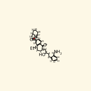 CCN1CCN(CC(O)CCc2ccccc2CN)C(=O)c2ccc(C(=O)N3C4CCCC3COC4)cc21